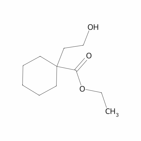 CCOC(=O)C1(CCO)CCCCC1